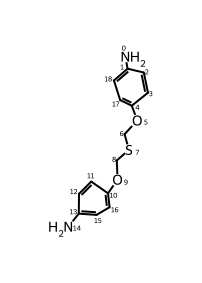 Nc1ccc(OCSCOc2ccc(N)cc2)cc1